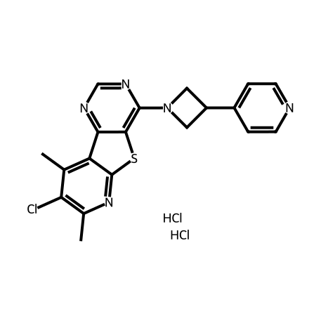 Cc1nc2sc3c(N4CC(c5ccncc5)C4)ncnc3c2c(C)c1Cl.Cl.Cl